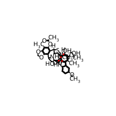 COc1ccc2[nH]c3c(c2c1)C[C@@H](CO)N[C@]31CS[C@@H]2c3c(OC(C)=O)c(C)c4c(c3C(COC1=O)N1[C@@H]2C2c3c(cc(C)c(OC)c3O)CC1(O)CN2C)OCO4